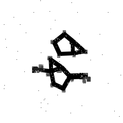 C1CC2CC2C1.C=C1CCC2(C(C)C)CC12